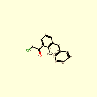 O=C(CCl)c1cccc(Cc2ccccc2)c1C(=O)O